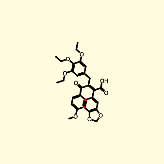 CCOc1cc(C/C(C(=O)c2ccc(OC)cc2)=C(\C(=O)O)c2ccc3c(c2)OCO3)cc(OCC)c1OCC